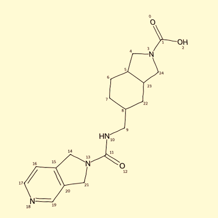 O=C(O)N1CC2CCC(CNC(=O)N3Cc4ccncc4C3)CC2C1